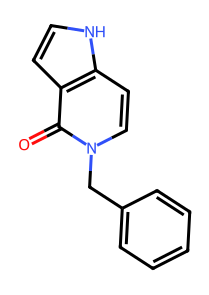 O=c1c2cc[nH]c2ccn1Cc1ccccc1